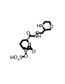 O=C(NOCC1COCCN1)[C@@H]1CCC2CN1C(=O)N2OS(=O)(=O)O